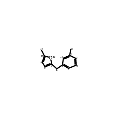 Cc1cccc(Cc2ccc(C)o2)c1